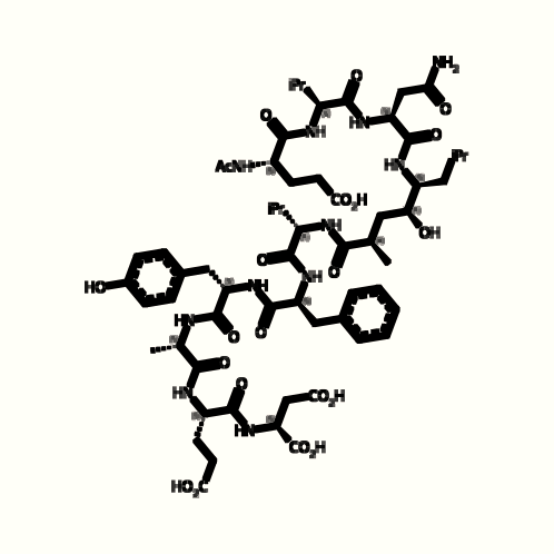 CC(=O)N[C@@H](CCC(=O)O)C(=O)N[C@H](C(=O)N[C@@H](CC(N)=O)C(=O)N[C@@H](CC(C)C)[C@@H](O)C[C@@H](C)C(=O)N[C@H](C(=O)N[C@@H](Cc1ccccc1)C(=O)N[C@@H](Cc1ccc(O)cc1)C(=O)N[C@@H](C)C(=O)N[C@@H](CCC(=O)O)C(=O)N[C@@H](CC(=O)O)C(=O)O)C(C)C)C(C)C